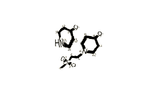 CS(=O)(=O)CCN1CCC([O])CC1.[O]C1CCNCC1